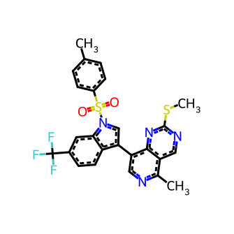 CSc1ncc2c(C)ncc(-c3cn(S(=O)(=O)c4ccc(C)cc4)c4cc(C(F)(F)F)ccc34)c2n1